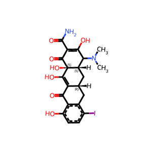 CN(C)C1C(O)=C(C(N)=O)C(=O)[C@@]2(O)C(O)=C3C(=O)c4c(O)ccc(I)c4C[C@H]3C[C@@H]12